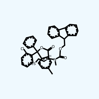 CSCC[C@@H](C(=O)OC(c1ccccc1)(c1ccc(C)cc1)c1ccccc1Cl)N(C)C(=O)OCC1c2ccccc2-c2ccccc21